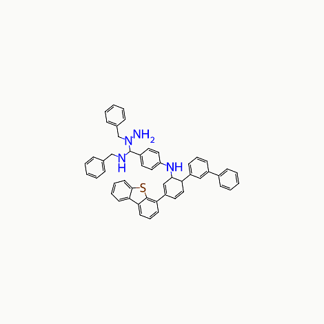 NN(Cc1ccccc1)C(NCc1ccccc1)c1ccc(NC2C=C(c3cccc4c3sc3ccccc34)C=CC2c2cccc(-c3ccccc3)c2)cc1